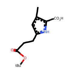 Cc1cc(CCC(=O)OC(C)(C)C)[nH]c1C(=O)O